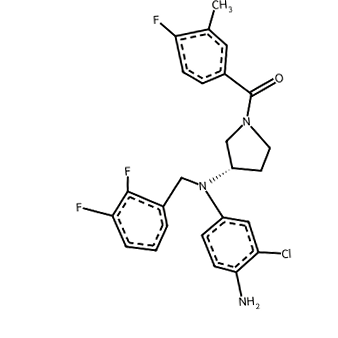 Cc1cc(C(=O)N2CC[C@H](N(Cc3cccc(F)c3F)c3ccc(N)c(Cl)c3)C2)ccc1F